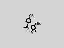 CCCCc1ccc(C)c(C2(C(=O)OCC)C(C)=C2c2ccc(C(F)(F)F)cc2)c1